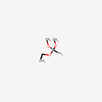 CCO[Si](C)(OC)OC